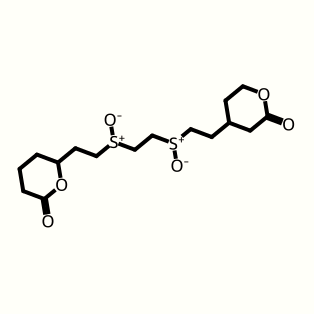 O=C1CC(CC[S+]([O-])CC[S+]([O-])CCC2CCCC(=O)O2)CCO1